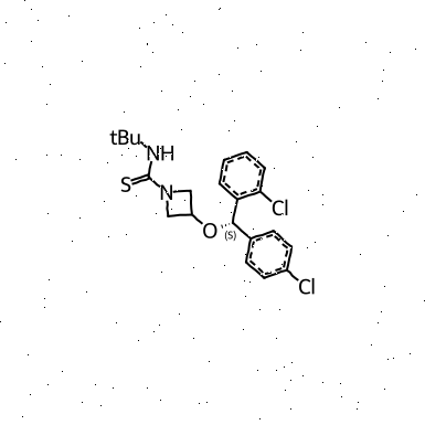 CC(C)(C)NC(=S)N1CC(O[C@@H](c2ccc(Cl)cc2)c2ccccc2Cl)C1